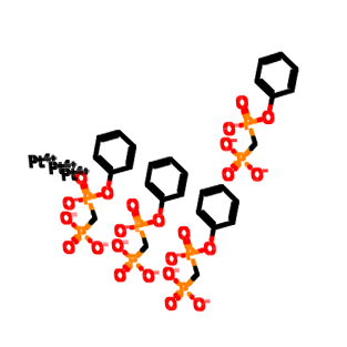 O=P([O-])([O-])CP(=O)([O-])Oc1ccccc1.O=P([O-])([O-])CP(=O)([O-])Oc1ccccc1.O=P([O-])([O-])CP(=O)([O-])Oc1ccccc1.O=P([O-])([O-])CP(=O)([O-])Oc1ccccc1.[Pt+4].[Pt+4].[Pt+4]